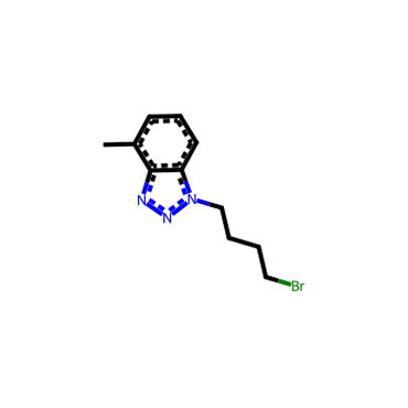 Cc1cccc2c1nnn2CCCCBr